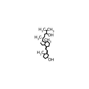 C=C1CC[C@H](O)C/C1=C/C=C1CCC[C@@]2(C)C1CC[C@@H]2[C@H](C)CCC(O)C(C)C